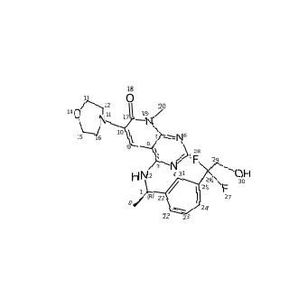 C[C@@H](Nc1ncnc2c1cc(N1CCOCC1)c(=O)n2C)c1cccc(C(F)(F)CO)c1